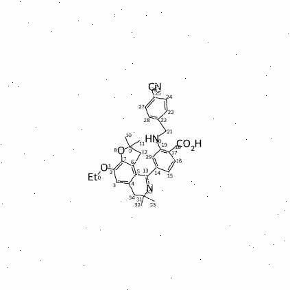 CCOc1cc2c(c3c1OC(C)(C)C3)C(c1ccc(C(=O)O)c(NCc3ccc(C#N)cc3)c1)=NC(C)(C)C2